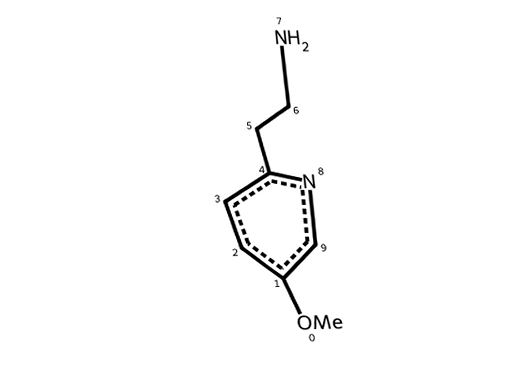 COc1ccc(CCN)nc1